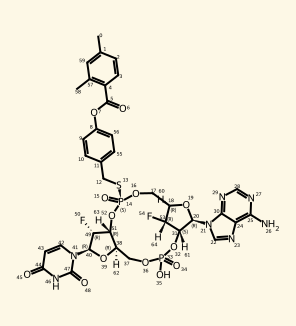 Cc1ccc(C(=O)Oc2ccc(CS[P@@]3(=O)OC[C@H]4O[C@@H](n5cnc6c(N)ncnc65)[C@H](OP(=O)(O)OC[C@H]5O[C@@H](n6ccc(=O)[nH]c6=O)[C@H](F)[C@@H]5O3)[C@@H]4F)cc2)c(C)c1